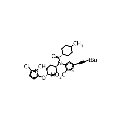 Cn1c(Cl)ccc1O[C@H]1CC[C@H](N(c2cc(C#CC(C)(C)C)sc2C(=O)O)C(=O)[C@H]2CC[C@H](C)CC2)CC1